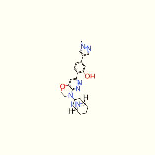 Cn1cc(-c2ccc(-c3cc4c(nn3)N(C3C[C@H]5CCC[C@@H](C3)N5)CCO4)c(O)c2)cn1